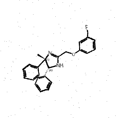 C[C@@]1(c2ccccc2)N=C(COc2cccc(F)c2)N[C@@H]1c1ccccc1